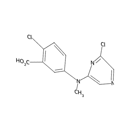 CN(c1ccc(Cl)c(C(=O)O)c1)c1cncc(Cl)n1